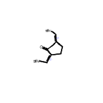 CC(C)(C)/C=C1/CC/C(=C/C(C)(C)C)C1=O